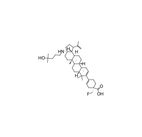 C=C(C)C1CC[C@]2(NCCCC(C)(C)O)CC[C@]3(C)[C@H](CC[C@@H]4[C@@]5(C)CC=C(C6=CC[C@](CF)(C(=O)O)CC6)C(C)(C)[C@@H]5CC[C@]43C)[C@@H]12